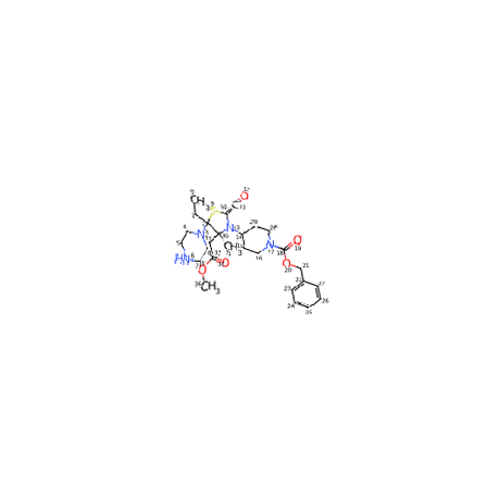 CCC1(N2CCNCC2)SC(=C=O)N(C2CCN(C(=O)OCc3ccccc3)CC2)C1(C)CC(=O)OC